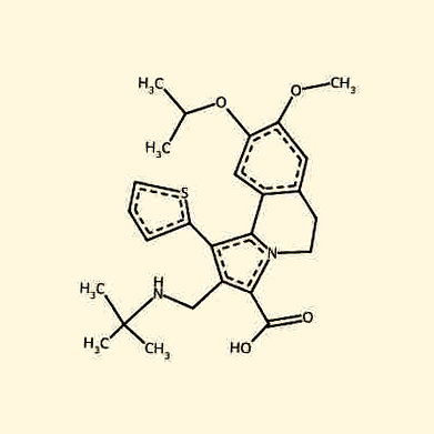 COc1cc2c(cc1OC(C)C)-c1c(-c3cccs3)c(CNC(C)(C)C)c(C(=O)O)n1CC2